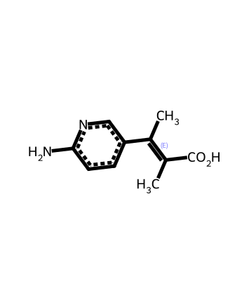 C/C(C(=O)O)=C(/C)c1ccc(N)nc1